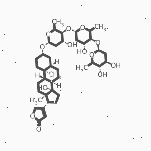 CC1O[C@@H](O[C@@H]2C(C)O[C@@H](O[C@@H]3C(C)O[C@@H](O[C@H]4CC[C@@]5(C)[C@H](CC[C@@H]6[C@@H]5CC[C@]5(C)[C@@H](C7=CC(=O)OC7)CC[C@]65O)C4)C[C@H]3O)C[C@H]2O)C[C@@H](O)[C@@H]1O